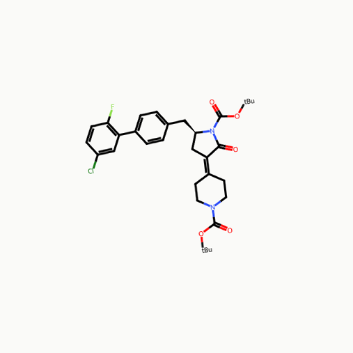 CC(C)(C)OC(=O)N1CCC(=C2C[C@@H](Cc3ccc(-c4cc(Cl)ccc4F)cc3)N(C(=O)OC(C)(C)C)C2=O)CC1